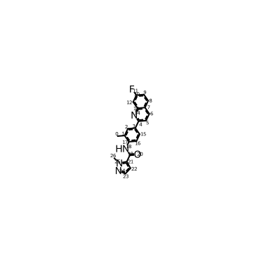 Cc1cc(-c2ccc3ccc(F)cc3n2)ccc1NC(=O)c1ccnn1C